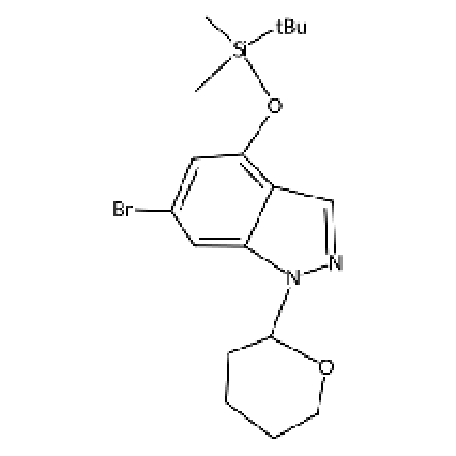 CC(C)(C)[Si](C)(C)Oc1cc(Br)cc2c1cnn2C1CCCCO1